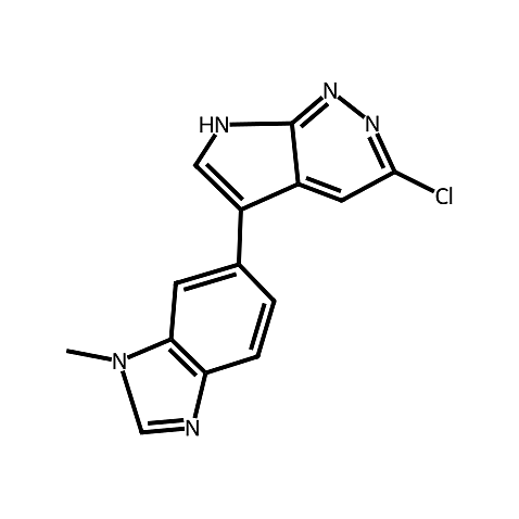 Cn1cnc2ccc(-c3c[nH]c4nnc(Cl)cc34)cc21